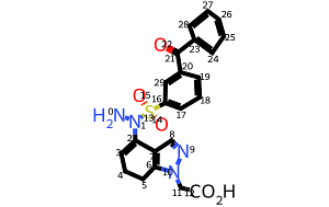 NN(C1=CCCc2c1cnn2CC(=O)O)S(=O)(=O)c1cccc(C(=O)c2ccccc2)c1